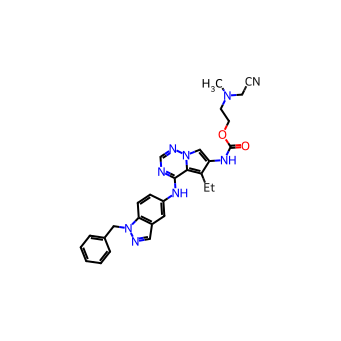 CCc1c(NC(=O)OCCN(C)CC#N)cn2ncnc(Nc3ccc4c(cnn4Cc4ccccc4)c3)c12